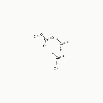 [Cr+3].[Cr+3].[O]=[Ge]([O-])[O-].[O]=[Ge]([O-])[O-].[O]=[Ge]([O-])[O-]